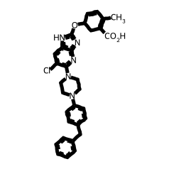 CC1=C(C(=O)O)CC(Oc2nc3nc(N4CCN(c5ccc(Cc6ccccc6)cc5)CC4)c(Cl)cc3[nH]2)C=C1